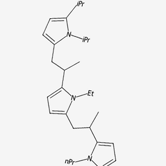 CCCn1nccc1C(C)Cc1ccc(C(C)Cc2ccc(C(C)C)n2C(C)C)n1CC